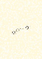 CCOc1ccc(OCCC(F)C2CCC(c3ccc(CC)cc3F)CC2)c(F)c1F